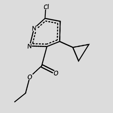 CCOC(=O)c1nnc(Cl)cc1C1CC1